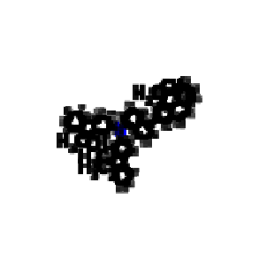 CC1(C)c2ccccc2-c2ccc(N(c3ccc4c(c3)C(C)(C)c3ccccc3-4)c3cccc4c(-c5cc6c7c(ccc8cccc(c87)C6(C)C)c5)cccc34)cc21